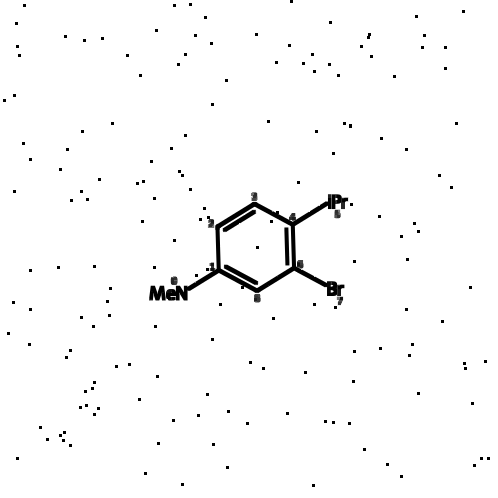 CNc1ccc(C(C)C)c(Br)c1